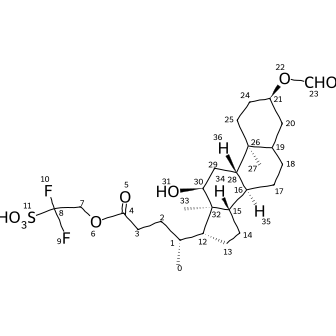 C[C@H](CCC(=O)OCC(F)(F)S(=O)(=O)O)[C@H]1CC[C@H]2[C@@H]3CCC4C[C@H](OC=O)CC[C@]4(C)[C@H]3C[C@H](O)[C@]12C